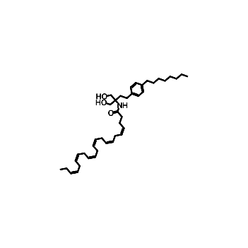 CC/C=C\C/C=C\C/C=C\C/C=C\C/C=C\C/C=C\CCC(=O)NC(CO)(CO)CCc1ccc(CCCCCCCC)cc1